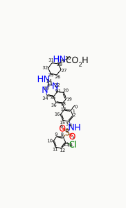 Cc1cc(NS(=O)(=O)c2ccccc2Cl)ccc1-c1ccc2nc(N[C@H]3CC[C@H](NC(=O)O)CC3)ncc2c1